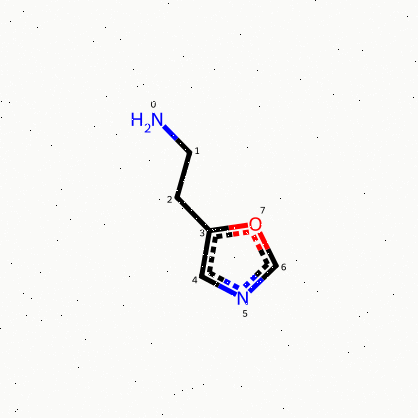 NCCc1cnco1